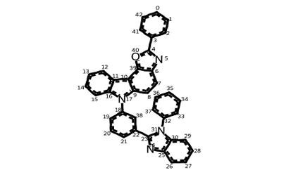 c1ccc(-c2nc3ccc4c(c5ccccc5n4-c4cccc(-c5nc6ccccc6n5-c5ccccc5)c4)c3o2)cc1